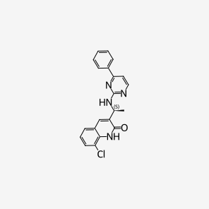 C[C@H](Nc1nccc(-c2ccccc2)n1)c1cc2cccc(Cl)c2[nH]c1=O